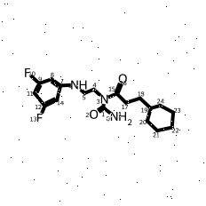 NC(=O)N(CCNc1cc(F)cc(F)c1)C(=O)[CH]CC1CCCCC1